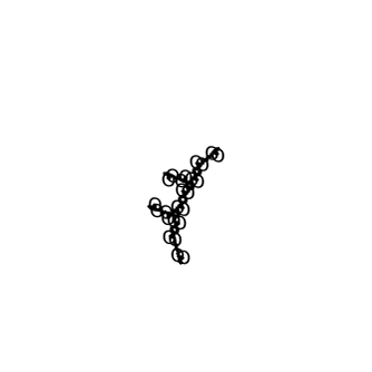 C=CC(=O)OCCCCOC(=O)c1ccc(C(=O)Oc2ccc(OC(=O)C3CCC(C(=O)Oc4ccc(OC(=O)c5ccc(C(=O)OCCCCOC(=O)C=C)cc5)c(C(=O)OCCOC(=O)C=C)c4)CC3)cc2C(=O)OCCOC(=O)C=C)cc1